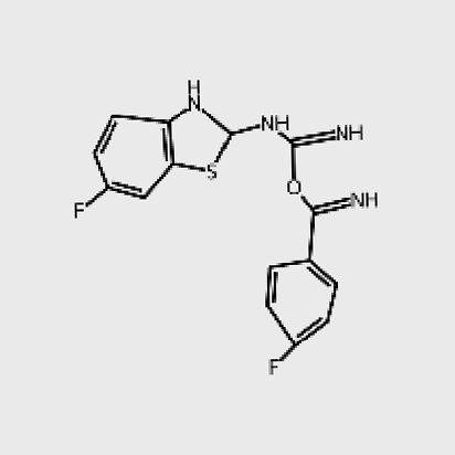 N=C(NC1Nc2ccc(F)cc2S1)OC(=N)c1ccc(F)cc1